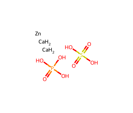 O=P(O)(O)O.O=S(=O)(O)O.[CaH2].[CaH2].[Zn]